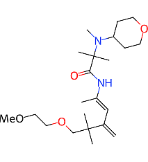 C=C(/C=C(\C)NC(=O)C(C)(C)N(C)C1CCOCC1)C(C)(C)COCCOC